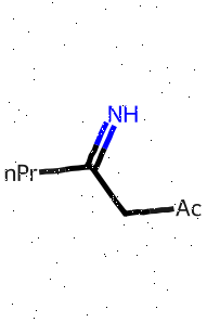 CCCC(=N)CC(C)=O